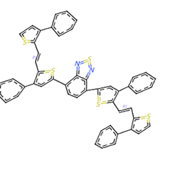 C(=C\c1sc(-c2ccc(-c3cc(-c4ccccc4)c(/C=C/c4sccc4-c4ccccc4)s3)c3nsnc23)cc1-c1ccccc1)/c1sccc1-c1ccccc1